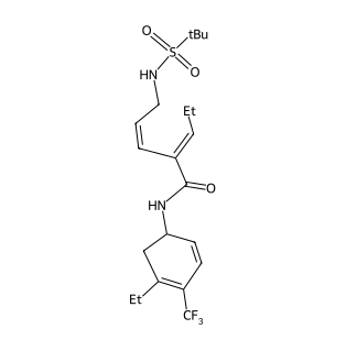 CC/C=C(\C=C/CNS(=O)(=O)C(C)(C)C)C(=O)NC1C=CC(C(F)(F)F)=C(CC)C1